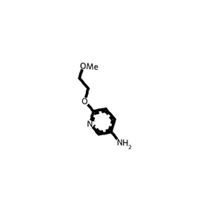 COCCOc1ccc(N)cn1